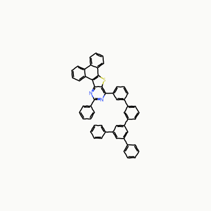 c1ccc(-c2cc(-c3ccccc3)cc(-c3cccc(-c4cccc(-c5nc(-c6ccccc6)nc6c5sc5c7ccccc7c7ccccc7c65)c4)c3)c2)cc1